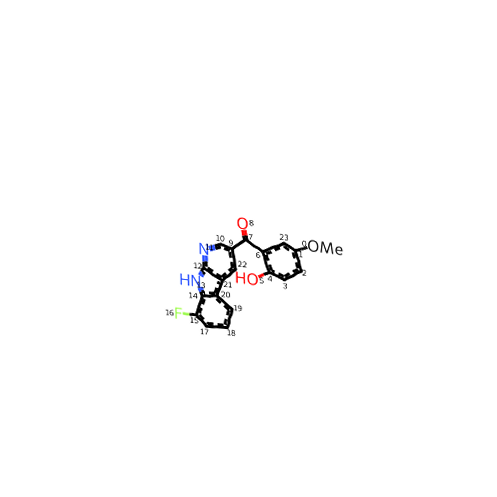 COc1ccc(O)c(C(=O)c2cnc3[nH]c4c(F)cccc4c3c2)c1